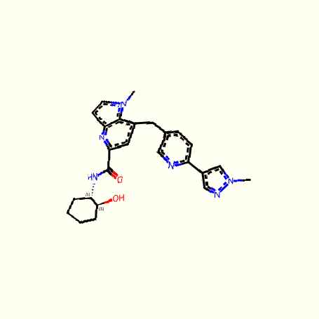 Cn1cc(-c2ccc(Cc3cc(C(=O)N[C@H]4CCCC[C@@H]4O)nc4ccn(C)c34)cn2)cn1